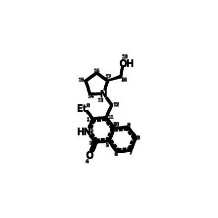 CCc1[nH]c(=O)c2ccccc2c1CN1CCC[C@H]1CO